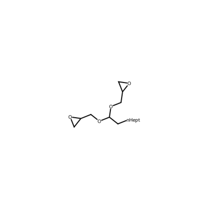 CCCCCCCCC(OCC1CO1)OCC1CO1